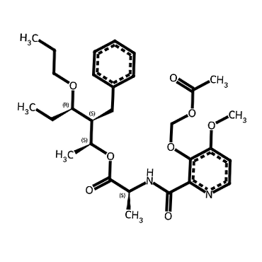 CCCO[C@H](CC)[C@@H](Cc1ccccc1)[C@H](C)OC(=O)[C@H](C)NC(=O)c1nccc(OC)c1OCOC(C)=O